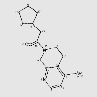 Nc1ncnc2c1CCN(C(=O)CC1CCCC1)C2